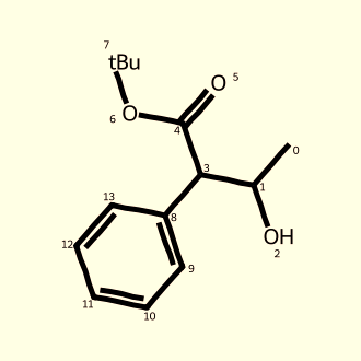 CC(O)C(C(=O)OC(C)(C)C)c1ccccc1